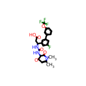 CC1=CC(=O)C(NC(=O)NC(CC(=O)O)c2cc(F)cc(-c3cccc(OC(F)(F)F)c3)c2)C(=O)N1C